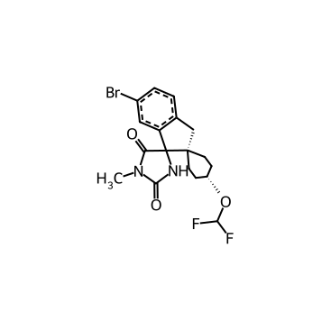 CN1C(=O)NC2(C1=O)c1cc(Br)ccc1C[C@]21CC[C@@H](OC(F)F)CC1